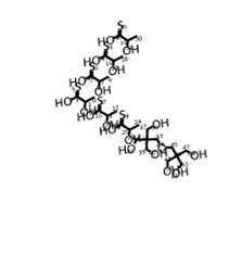 CC(O)C(O)=S.CC(O)C(O)=S.CC(O)C(O)=S.CC(O)C(O)=S.CC(O)C(O)=S.CC(O)C(O)=S.OCC(CO)(CO)COCC(CO)(CO)CO